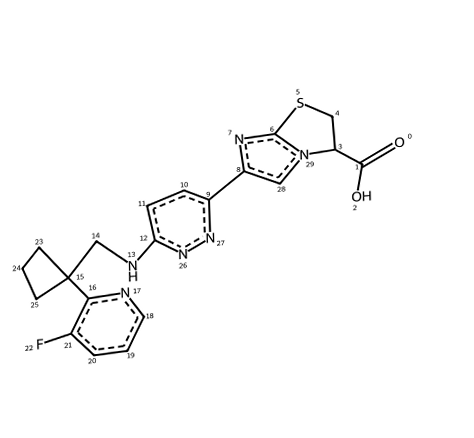 O=C(O)C1CSc2nc(-c3ccc(NCC4(c5ncccc5F)CCC4)nn3)cn21